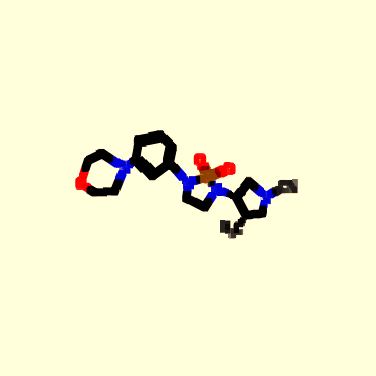 C[C@H]1CN(C#N)C[C@@H]1N1CCN(c2cccc(N3CCOCC3)c2)S1(=O)=O